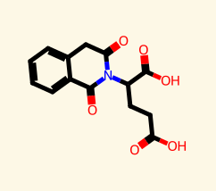 O=C(O)CCC(C(=O)O)N1C(=O)Cc2ccccc2C1=O